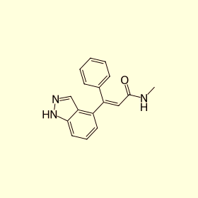 CNC(=O)/C=C(\c1ccccc1)c1cccc2[nH]ncc12